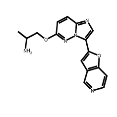 CC(N)COc1ccc2ncc(-c3cc4cnccc4o3)n2n1